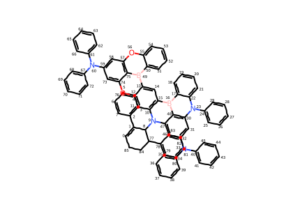 C1=C(c2ccccc2)C(N2c3cc4c(cc3B3c5ccccc5N(c5ccccc5)c5cc(N(c6ccccc6)c6ccccc6)cc2c53)B2c3ccccc3Oc3cc(N(c5ccccc5)c5ccccc5)cc(c32)O4)C(c2ccccc2)CC1